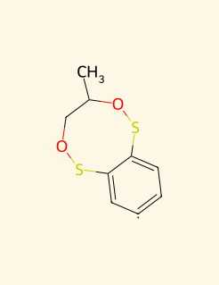 CC1COSc2c[c]ccc2SO1